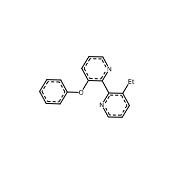 CCc1cccnc1-c1ncccc1Oc1ccccc1